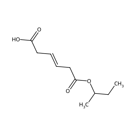 CCC(C)OC(=O)CC=CCC(=O)O